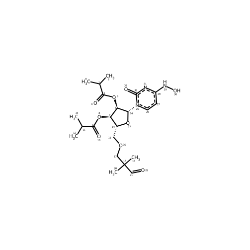 CC(C)C(=O)O[C@@H]1[C@H](OC(=O)C(C)C)[C@@H](COCC(C)(C)C=O)O[C@H]1n1ccc(NO)nc1=O